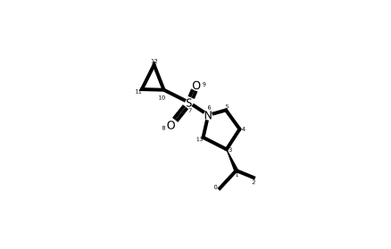 CC(C)[C@@H]1CCN(S(=O)(=O)C2CC2)C1